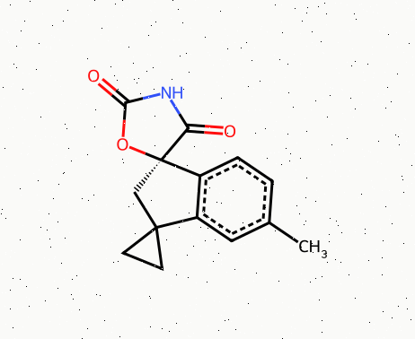 Cc1ccc2c(c1)C1(CC1)C[C@@]21OC(=O)NC1=O